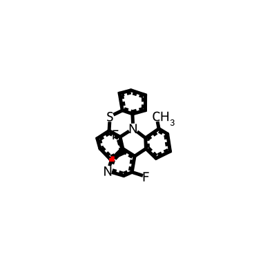 Cc1cccc(-c2c(F)cncc2F)c1N1c2ccccc2Sc2ccccc21